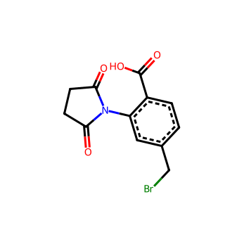 O=C(O)c1ccc(CBr)cc1N1C(=O)CCC1=O